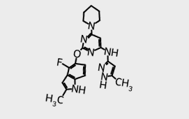 Cc1cc(Nc2cc(N3CCCCC3)nc(Oc3ccc4[nH]c(C)cc4c3F)n2)n[nH]1